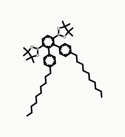 CCCCCCCCCCc1ccc(-c2c(B3OC(C)(C)C(C)(C)O3)ccc(B3OC(C)(C)C(C)(C)O3)c2-c2ccc(CCCCCCCCCC)cc2)cc1